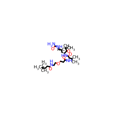 CC(C)[C@H](NC(=O)CCOCCNC(=O)CCC(C)(C)C)C(=O)N[C@@H](CCCNC(N)=O)C(=O)C(C)(C)C